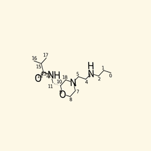 CCCNCCN1CCO[C@H](CNC(=O)C(C)C)C1